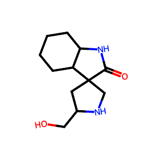 O=C1NC2CCCCC2C12CNC(CO)C2